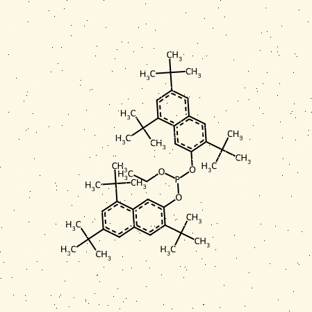 CCOP(Oc1cc2c(C(C)(C)C)cc(C(C)(C)C)cc2cc1C(C)(C)C)Oc1cc2c(C(C)(C)C)cc(C(C)(C)C)cc2cc1C(C)(C)C